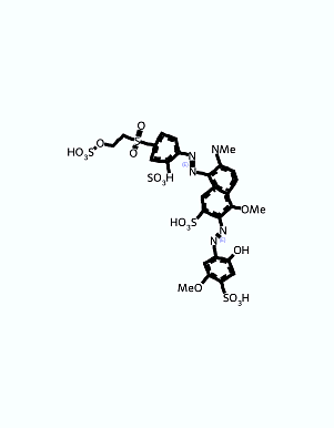 CNc1ccc2c(OC)c(/N=N/c3cc(OC)c(S(=O)(=O)O)cc3O)c(S(=O)(=O)O)cc2c1/N=N/c1ccc(S(=O)(=O)CCOS(=O)(=O)O)cc1S(=O)(=O)O